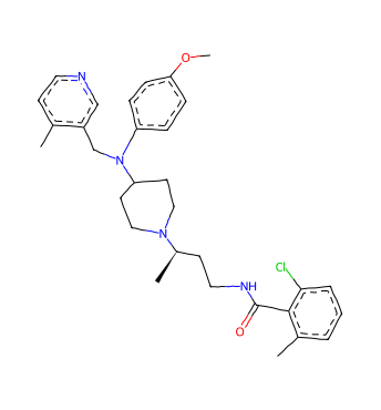 COc1ccc(N(Cc2cnccc2C)C2CCN([C@H](C)CCNC(=O)c3c(C)cccc3Cl)CC2)cc1